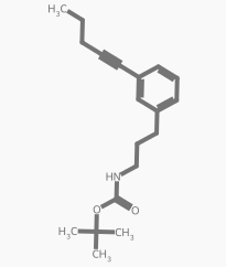 CCCC#Cc1cccc(CCCNC(=O)OC(C)(C)C)c1